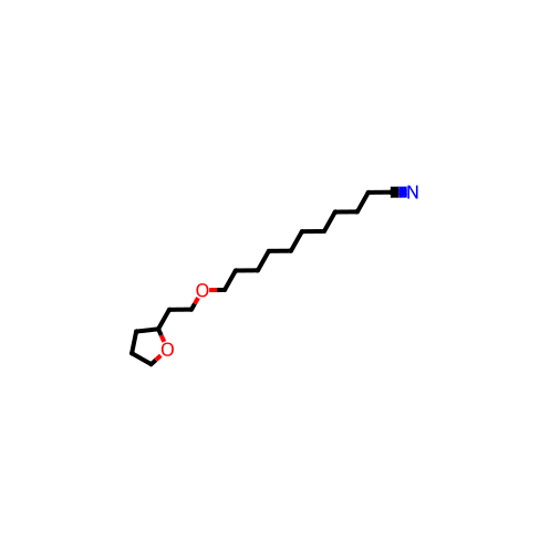 N#CCCCCCCCCCCOCCC1CCCO1